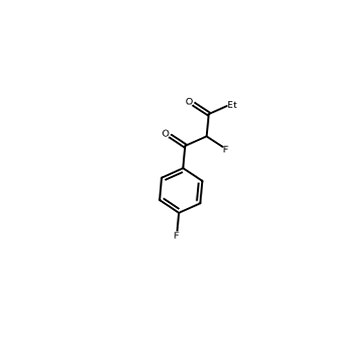 CCC(=O)C(F)C(=O)c1ccc(F)cc1